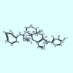 C[C@]12Cc3cnn(-c4ccc(F)cc4)c3C[C@H]1CCC[C@@H]2[C@@H](O)Cc1ccccc1